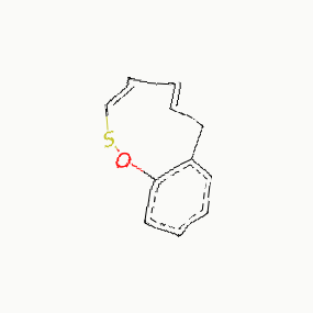 C1=C\SOc2ccccc2C/C=C/1